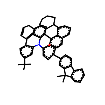 CC(C)(C)c1ccc(C2=CCCC=C2)c(N(c2ccc(-c3ccc4c(c3)C(C)(C)c3ccccc3-4)cc2)c2ccccc2-c2cccc3cccc(C4CCCCC4)c23)c1